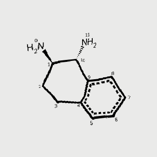 N[C@@H]1CCc2ccccc2[C@H]1N